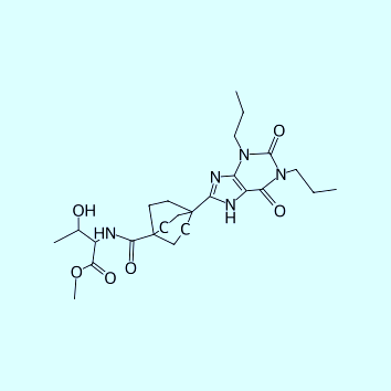 CCCn1c(=O)c2[nH]c(C34CCC(C(=O)NC(C(=O)OC)C(C)O)(CC3)CC4)nc2n(CCC)c1=O